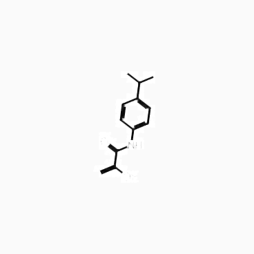 C=C(O)C(=O)Nc1ccc(C(C)C)cc1